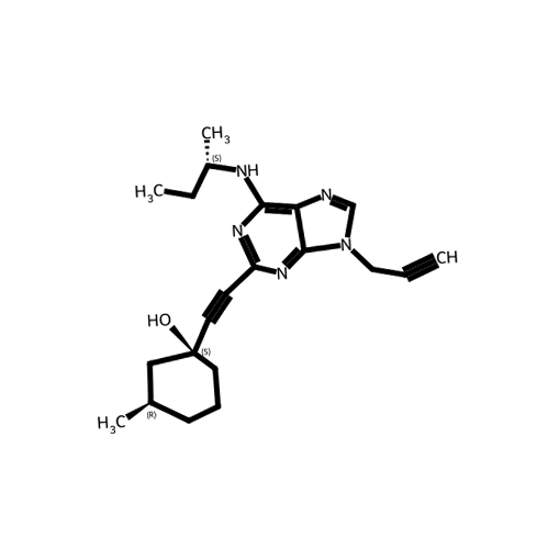 C#CCn1cnc2c(N[C@@H](C)CC)nc(C#C[C@]3(O)CCC[C@@H](C)C3)nc21